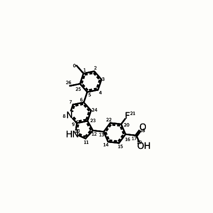 Cc1cccc(-c2cnc3[nH]cc(-c4ccc(C(=O)O)c(F)c4)c3c2)c1C